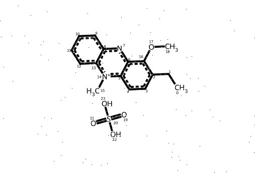 CCc1ccc2c(nc3ccccc3[n+]2C)c1OC.O=S(=O)(O)O